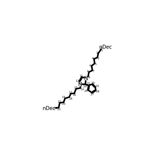 CCCCCCCCCCCCCCCCCCCN1C=CN(CCCCCCCCCCCCCCCCCCC)C1c1ccccc1